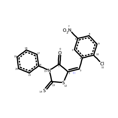 O=C1/C(=C\c2cc([N+](=O)[O-])ccc2Cl)SC(=S)N1c1ccccc1